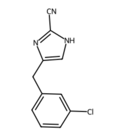 N#Cc1nc(Cc2cccc(Cl)c2)c[nH]1